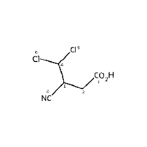 N#CC(CC(=O)O)C(Cl)Cl